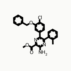 COC(=O)c1nc(-c2ccc(Cl)c(OCc3ccccc3)c2)c(-c2ccccc2C)nc1N